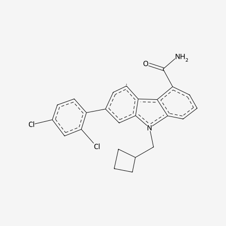 NC(=O)c1cccc2c1c1[c]cc(-c3ccc(Cl)cc3Cl)cc1n2CC1CCC1